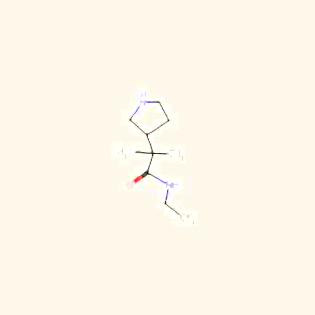 CC(C)(C(=O)NCC(F)(F)F)C1CCNC1